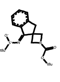 CC(C)(C)OC(=O)N1CC2(Cc3ccccc3/C2=N\[S+]([O-])C(C)(C)C)C1